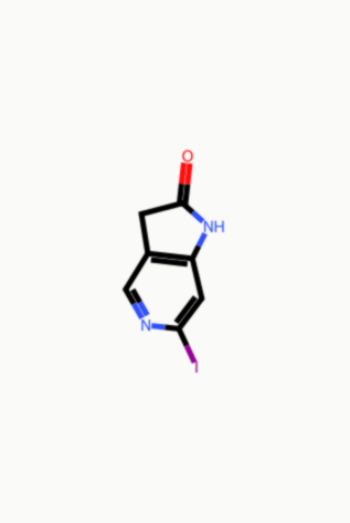 O=C1Cc2cnc(I)cc2N1